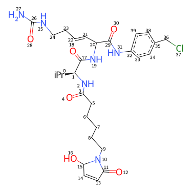 CC(C)[C@H](NC(=O)CCCCCN1C(=O)C=CC1O)C(=O)NC(/C=C/CCNC(N)=O)C(=O)Nc1ccc(CCl)cc1